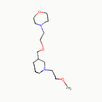 COCCN1CCCC(COCCN2CCOCC2)C1